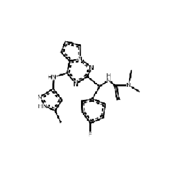 C=C(NC(c1ccc(F)cc1)c1nc(Nc2cc(C)[nH]n2)c2cccn2n1)N(C)C